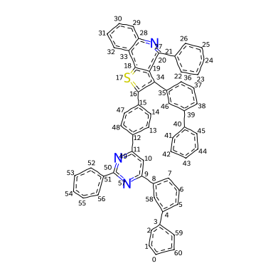 c1ccc(-c2cccc(-c3cc(-c4ccc(-c5sc6c(c(-c7ccccc7)nc7ccccc76)c5-c5cccc(-c6ccccc6)c5)cc4)nc(-c4ccccc4)n3)c2)cc1